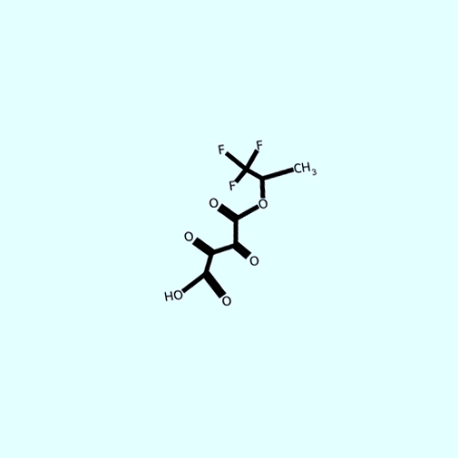 CC(OC(=O)C(=O)C(=O)C(=O)O)C(F)(F)F